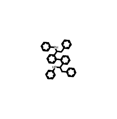 c1ccc(CC(Pc2ccccc2)c2ccccc2-c2ccccc2C(Cc2ccccc2)Pc2ccccc2)cc1